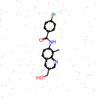 Cc1c(NC(=O)c2ccc(Br)cc2)ccc2cc(CO)cnc12